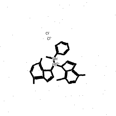 Cc1ccc(C)c2c1C=C[CH]2[Hf+2]([CH]1C=Cc2c(C)ccc(C)c21)[SiH](C)c1ccccc1.[Cl-].[Cl-]